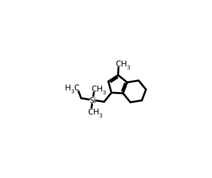 CC[Si](C)(C)CC1C=C(C)C2=C1CCCC2